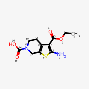 CCOC(=O)c1c(N)sc2c1CCN(C(=O)O)C2